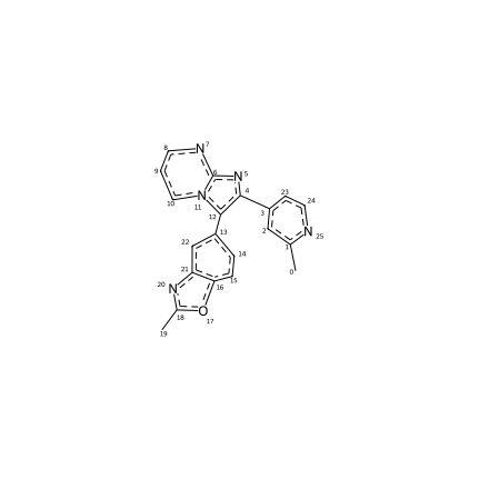 Cc1cc(-c2nc3ncccn3c2-c2ccc3oc(C)nc3c2)ccn1